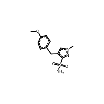 COc1ccc(Cc2cn(C)nc2S(N)(=O)=O)cc1